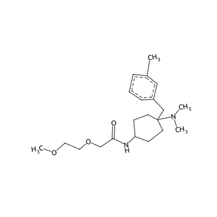 COCCOCC(=O)NC1CCC(Cc2cccc(C)c2)(N(C)C)CC1